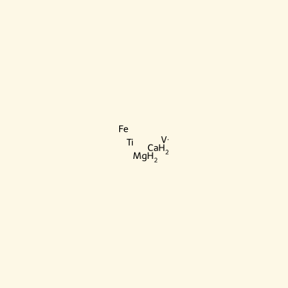 [CaH2].[Fe].[MgH2].[Ti].[V]